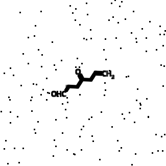 C=CCC(=O)C[C]C=O